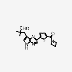 CC(C)(C=O)Cc1c[nH]c2ncc(-c3ccc(C(=O)N4CCC4)s3)nc12